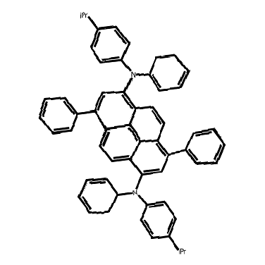 CC(C)c1ccc(N(C2=CC=CCC2)c2cc(-c3ccccc3)c3ccc4c(N(c5ccc(C(C)C)cc5)C5C=CC=CC5)cc(-c5ccccc5)c5ccc2c3c54)cc1